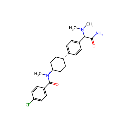 CN(C)C(C(N)=O)c1ccc([C@H]2CC[C@H](N(C)C(=O)c3ccc(Cl)cc3)CC2)cc1